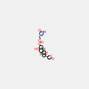 C[C@]12CC[C@H](OC(=O)OCCN3CCNC(=O)C3)C[C@@]1(O)CC[C@@H]1[C@@H]2CC[C@]2(C)[C@@H](c3ccc(=O)oc3)CC[C@]12O